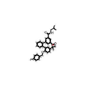 CC(C)CNC(=O)c1cc(C(=O)O)cc(-c2ccccc2-c2cc(C(F)(F)F)ccc2OCc2ccc(F)cc2)c1